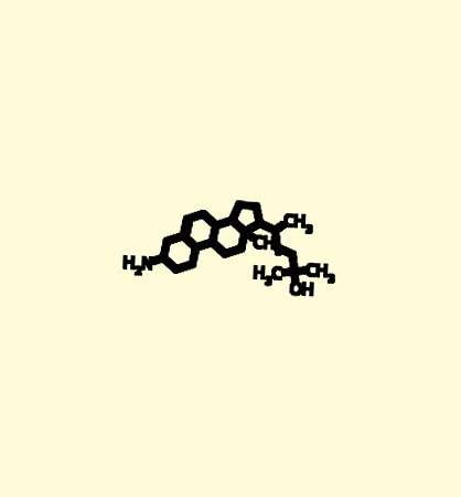 CC(CCC(C)(C)O)C1CCC2C3CC=C4CC(N)CCC4C3CCC12C